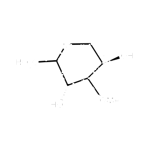 COC1[C@H](O)C(C(=O)O)OC[C@H]1O